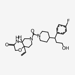 C=CC12CCN(C(=O)N3CCC(C(CCO)c4ccc(F)cc4)CC3)C[C@H]1NC(=O)CO2